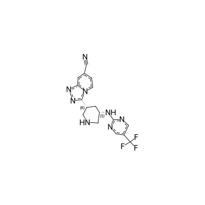 N#Cc1ccn2c([C@H]3CNC[C@@H](Nc4ncc(C(F)(F)F)cn4)C3)nnc2c1